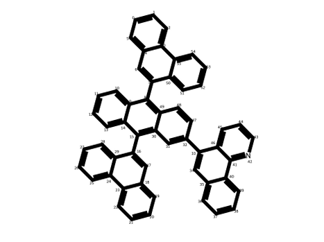 c1ccc2c(c1)cc(-c1c3ccccc3c(-c3cc4ccccc4c4ccccc34)c3cc(-c4cc5ccccc5c5ncccc45)ccc13)c1ccccc12